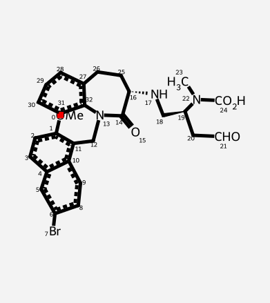 COc1ccc2cc(Br)ccc2c1CN1C(=O)[C@@H](NC[C@H](CC=O)N(C)C(=O)O)CCc2ccccc21